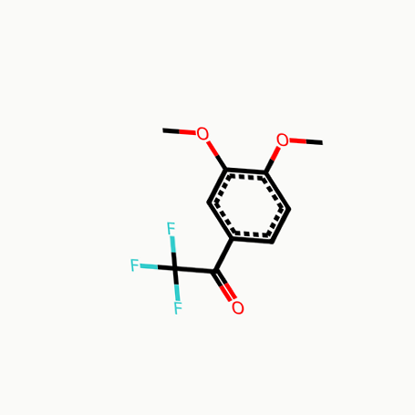 COc1ccc(C(=O)C(F)(F)F)cc1OC